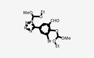 CCOC(OC)Oc1c(Br)cc(-c2nnnn2C(OC)OCC)cc1C=O